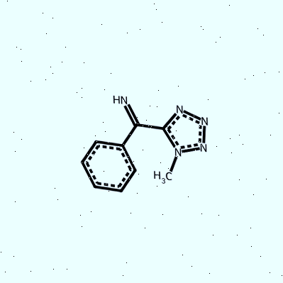 Cn1nnnc1C(=N)c1ccccc1